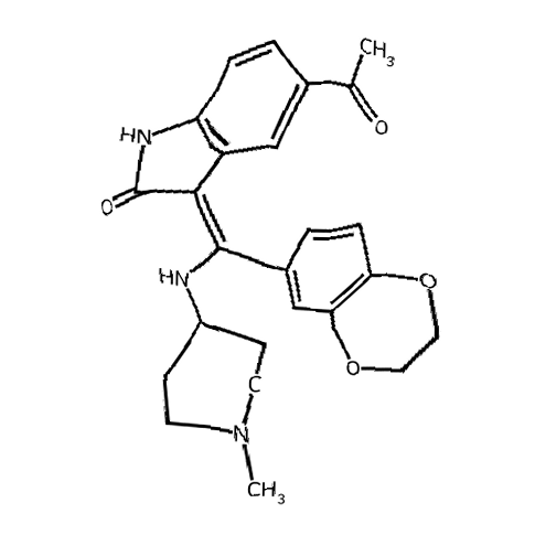 CC(=O)c1ccc2c(c1)/C(=C(/NC1CCN(C)CC1)c1ccc3c(c1)OCCO3)C(=O)N2